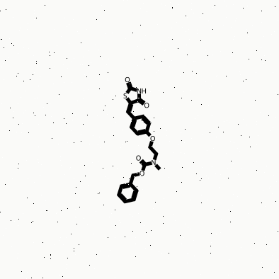 CN(CCOc1ccc(C=C2SC(=O)NC2=O)cc1)C(=O)OCc1ccccc1